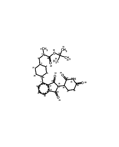 CN(CC1CCN(c2cccc3c2C(=O)N(C2CCC(=O)NC2=O)C3=O)CC1)C(=O)OC(C)(C)C